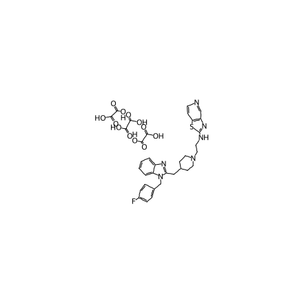 Fc1ccc(Cn2c(CC3CCN(CCNc4nc5cnccc5s4)CC3)nc3ccccc32)cc1.O=C(O)C(=O)O.O=C(O)C(=O)O.O=C(O)C(=O)O